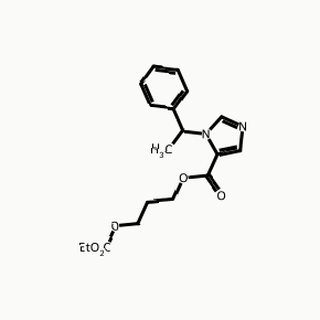 CCOC(=O)OCCCOC(=O)c1cncn1C(C)c1ccccc1